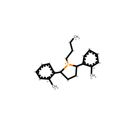 CCCCP1C(c2ccccc2C)CCC1c1ccccc1C